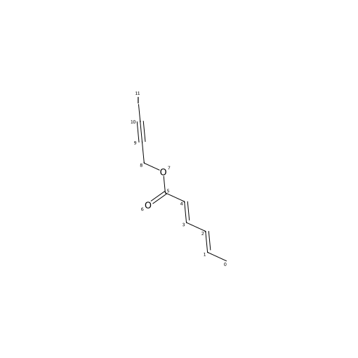 C/C=C/C=C/C(=O)OCC#CI